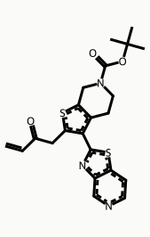 C=CC(=O)Cc1sc2c(c1-c1nc3cnccc3s1)CCN(C(=O)OC(C)(C)C)C2